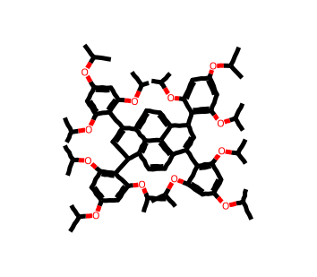 CC(C)Oc1cc(OC(C)C)c(C2=CC(c3c(OC(C)C)cc(OC(C)C)cc3OC(C)C)c3ccc4c5c(ccc2c35)C(c2c(OC(C)C)cc(OC(C)C)cc2OC(C)C)C=C4c2c(OC(C)C)cc(OC(C)C)cc2OC(C)C)c(OC(C)C)c1